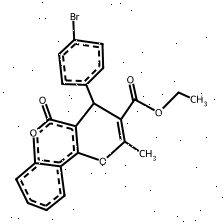 CCOC(=O)C1=C(C)Oc2c(c(=O)oc3ccccc23)C1c1ccc(Br)cc1